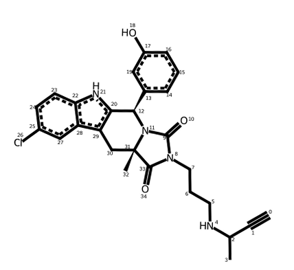 C#CC(C)NCCCN1C(=O)N2[C@H](c3cccc(O)c3)c3[nH]c4ccc(Cl)cc4c3C[C@@]2(C)C1=O